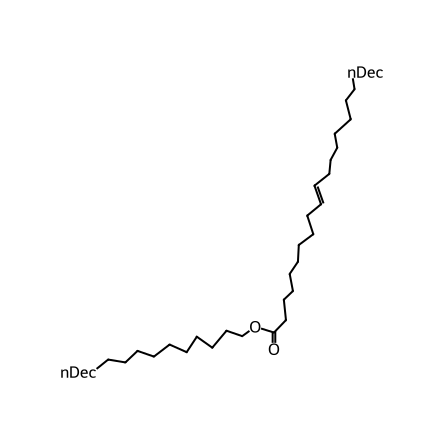 CCCCCCCCCCCCCCCCCC=CCCCCCCCCC(=O)OCCCCCCCCCCCCCCCCCCCC